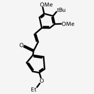 CCOc1ccc(C(=O)C=Cc2cc(OC)c(C(C)(C)C)c(OC)c2)cc1